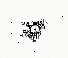 CCn1c(-c2cccnc2[C@H](C)OC)c2c3cc(ccc31)-c1cc(cc(OC(=O)C(C)(C)C)c1)C[C@H](NC(=O)C(C1CCCC1)N(C)C(=O)CN(C)C(=O)[C@@H]1N[C@@H]1C1CC1)C(=O)N1CCC[C@H](N1)C(=O)OCC(C)(C)C2